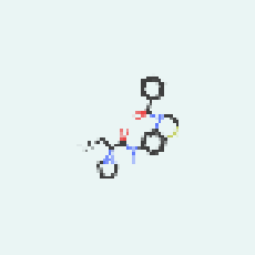 CCC(C(=O)Nc1ccc2c(c1)N(C(=O)c1ccccc1)CCS2)N1CCCC1